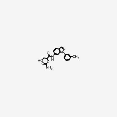 Cc1cccc(-n2ncc3ccc(NC(=O)C(CO)OC(N)=O)cc32)c1